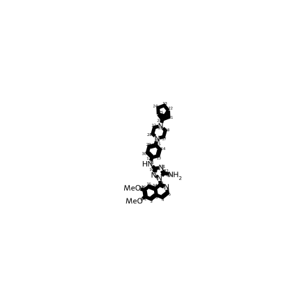 COc1cc2ccnc(-n3nc(Nc4ccc(N5CCN(C6CC7CCC6C7)CC5)cc4)nc3N)c2cc1OC